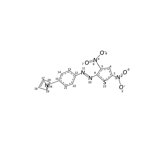 O=[N+]([O-])c1cc([N+](=O)[O-])c(N=Nc2ccc(N3C4=CC3=C4)cc2)s1